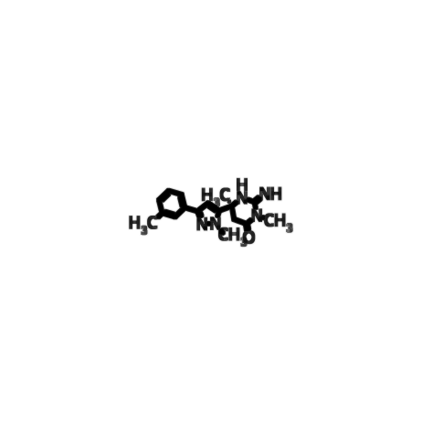 Cc1cccc(-c2cc([C@]3(C)CC(=O)N(C)C(=N)N3)n(C)n2)c1